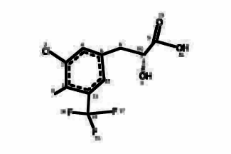 Cc1c(Cl)cc(C[C@@H](O)C(=O)O)cc1C(F)(F)F